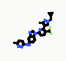 Cc1ccc(Nc2ccc3c(c2)ncn3-c2ccc(C(F)F)c(-c3cn(CC4CC4)nc3C)n2)nn1